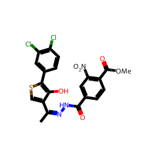 COC(=O)c1ccc(C(=O)NN=C(C)c2csc(-c3ccc(Cl)c(Cl)c3)c2O)cc1[N+](=O)[O-]